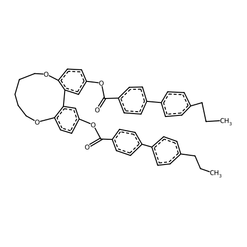 CCCc1ccc(-c2ccc(C(=O)Oc3ccc4c(c3)-c3cc(OC(=O)c5ccc(-c6ccc(CCC)cc6)cc5)ccc3OCCCCCO4)cc2)cc1